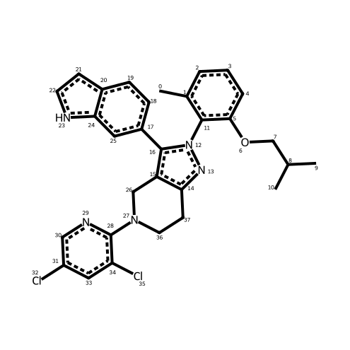 Cc1cccc(OCC(C)C)c1-n1nc2c(c1-c1ccc3cc[nH]c3c1)CN(c1ncc(Cl)cc1Cl)CC2